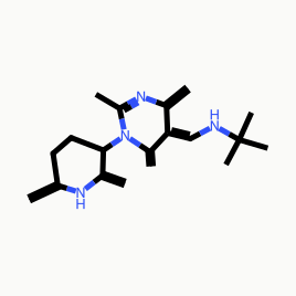 C=C1CCC(N2C(=C)/C(=C/NC(C)(C)C)C(=C)N=C2C)C(=C)N1